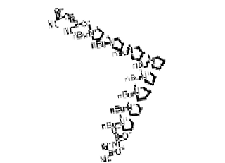 CCCC[N+]1(C)CCCC1.CCCC[N+]1(C)CCCC1.CCCC[N+]1(C)CCCC1.CCCC[N+]1(C)CCCC1.CCCC[N+]1(C)CCCC1.CCCC[N+]1(C)CCCC1.CCCC[N+]1(C)CCCC1.CCCC[N+]1(C)CCCC1.N#CB([O-])[O-].N#CB([O-])[O-].N#CB([O-])[O-].N#CB([O-])[O-]